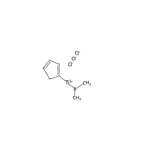 C[B](C)[Ti+3][C]1=CC=CC1.[Cl-].[Cl-].[Cl-]